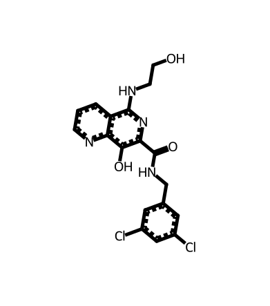 O=C(NCc1cc(Cl)cc(Cl)c1)c1nc(NCCO)c2cccnc2c1O